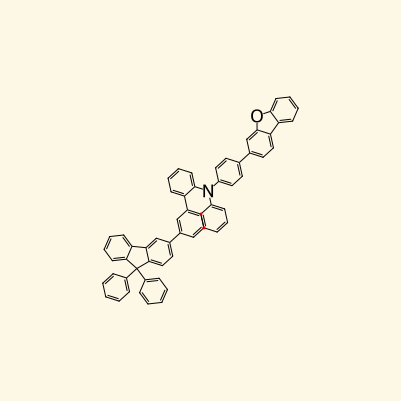 c1ccc(N(c2ccc(-c3ccc4c(c3)oc3ccccc34)cc2)c2ccccc2-c2cccc(-c3ccc4c(c3)-c3ccccc3C4(c3ccccc3)c3ccccc3)c2)cc1